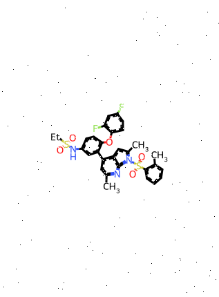 CCS(=O)(=O)Nc1ccc(Oc2ccc(F)cc2F)c(-c2cc(C)nc3c2cc(C)n3S(=O)(=O)c2ccccc2C)c1